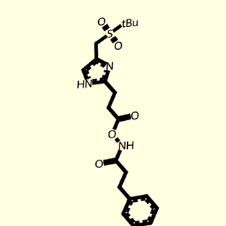 CC(C)(C)S(=O)(=O)Cc1c[nH]c(CCC(=O)ONC(=O)CCc2ccccc2)n1